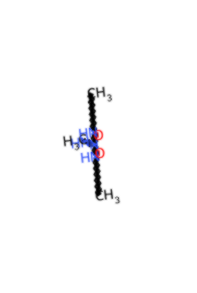 CCCCCCCCCCCCCNC(=O)CCN(CCNC)CCC(=O)NCCCCCCCCCCCCC